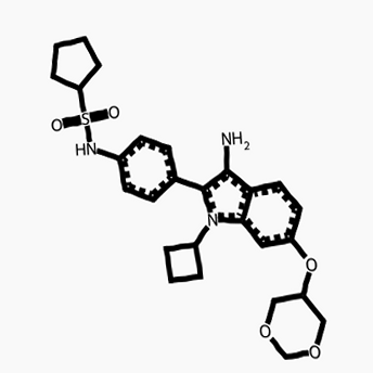 Nc1c(-c2ccc(NS(=O)(=O)C3CCCC3)cc2)n(C2CCC2)c2cc(OC3COCOC3)ccc12